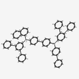 c1ccc(-c2ccc(N(c3ccc(-c4ccc(N(c5cc(-c6ccccc6)cc(-c6ccccc6)c5)c5cccc6ccccc56)cc4)cc3)c3ccc(-c4ccccc4)c(-c4ccccc4)c3)cc2)cc1